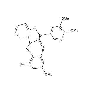 COc1cc(F)c(CN2C(=O)N(c3ccc(OC)c(OC)c3)Sc3ccccc32)c(F)c1